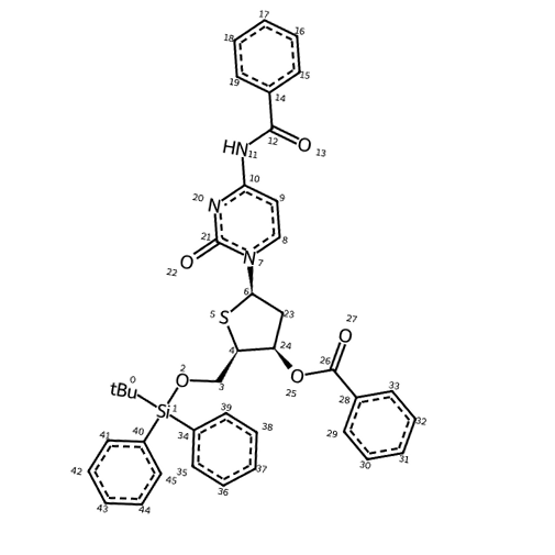 CC(C)(C)[Si](OC[C@H]1S[C@@H](n2ccc(NC(=O)c3ccccc3)nc2=O)C[C@H]1OC(=O)c1ccccc1)(c1ccccc1)c1ccccc1